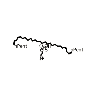 CCCCC/C=C\C/C=C\CCCCCCCCC(CCCCCCCC/C=C\C/C=C\CCCCC)OP(O)(=S)OCCN(C)C